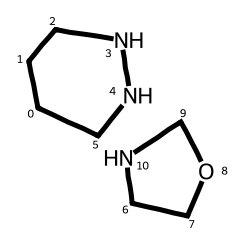 C1CCNNC1.C1COCN1